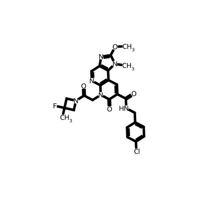 COc1nc2cnc3c(cc(C(=O)NCc4ccc(Cl)cc4)c(=O)n3CC(=O)N3CC(C)(F)C3)c2n1C